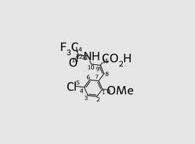 COc1ccc(Cl)cc1C=C(CNC(=O)C(F)(F)F)C(=O)O